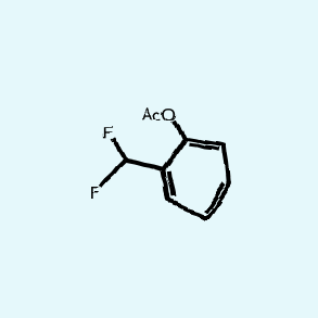 CC(=O)Oc1ccccc1C(F)F